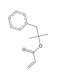 C=CC(=O)OC(C)(C)Cc1ccccc1